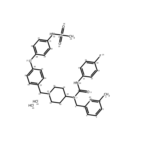 Cc1cccc(CN(C(=O)Nc2ccc(F)cc2)C2CCN(Cc3ccc(Oc4ccc(NS(C)(=O)=O)cc4)cc3)CC2)n1.Cl.Cl